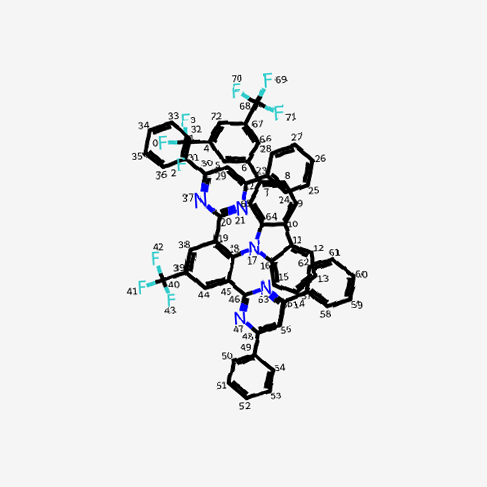 FC(F)(F)c1cc(-c2ccc3c4ccccc4n(-c4c(-c5nc(-c6ccccc6)cc(-c6ccccc6)n5)cc(C(F)(F)F)cc4-c4nc(-c5ccccc5)cc(-c5ccccc5)n4)c3c2)cc(C(F)(F)F)c1